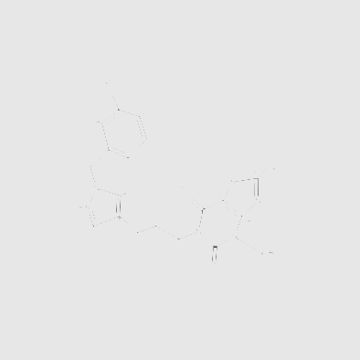 CCCCCn1c(=O)n(CCCc2cnn(Cc3cccc(C(F)(F)F)c3)c2)c(=O)c2[nH]c(Cl)nc21